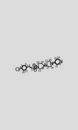 O=S(=O)(C=Cc1ccc(Cl)cc1)N1CCC(N2CCN(c3ccncc3)CC2)CC1